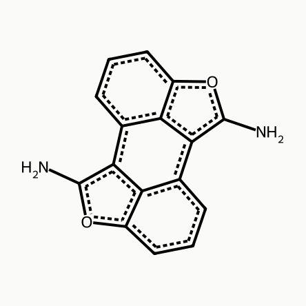 Nc1oc2cccc3c4c(N)oc5cccc(c1c23)c54